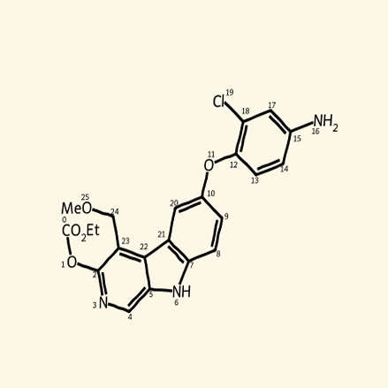 CCOC(=O)Oc1ncc2[nH]c3ccc(Oc4ccc(N)cc4Cl)cc3c2c1COC